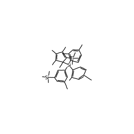 CC1=C(C)C(C)([Si](c2cc(C)cc([Si](C)(C)C)c2)(c2ccc(C)cc2C)c2ccc(C)cc2C)[C]([Ti]([CH3])([CH3])[CH3])=C1C